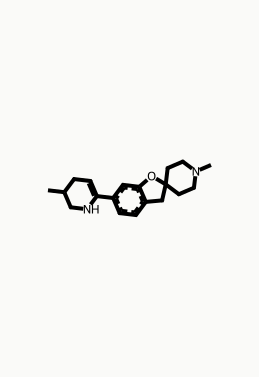 CC1CC=C(c2ccc3c(c2)OC2(CCN(C)CC2)C3)NC1